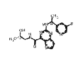 C[C@H](O)CNC(=O)c1nc(N[C@@H](C)c2cncc(F)c2)nc2ccsc12